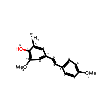 COc1ccc(/C=C/c2cc(C)c(O)c(OC)c2)cc1